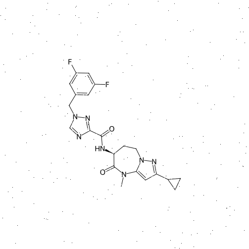 CN1C(=O)[C@@H](NC(=O)c2ncn(Cc3cc(F)cc(F)c3)n2)CCn2nc(C3CC3)cc21